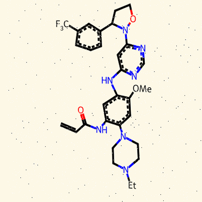 C=CC(=O)Nc1cc(Nc2cc(N3OCCC3c3cccc(C(F)(F)F)c3)ncn2)c(OC)cc1N1CCN(CC)CC1